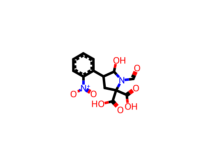 O=CN1C(O)C(c2ccccc2[N+](=O)[O-])CC1(C(=O)O)C(=O)O